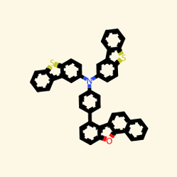 c1ccc2c(c1)ccc1c2oc2cccc(-c3ccc(N(c4ccc5sc6ccccc6c5c4)c4ccc5sc6ccccc6c5c4)cc3)c21